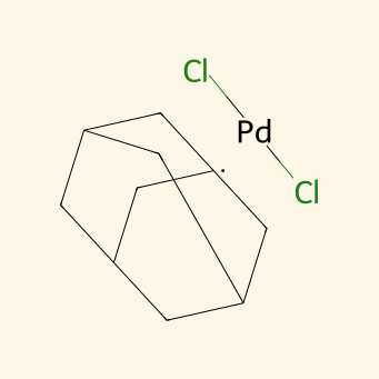 C1[C]2CC3CC1CC(C2)C3.[Cl][Pd][Cl]